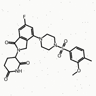 COc1cc(S(=O)(=O)N2CCN(c3cc(F)cc4c3CN(C3CCC(=O)NC3=O)C4=O)CC2)ccc1C